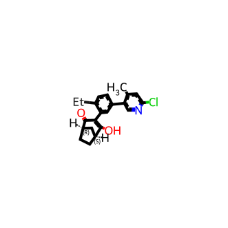 CCc1ccc(-c2cnc(Cl)cc2C)cc1C1=C(O)[C@H]2CC[C@H](C2)C1=O